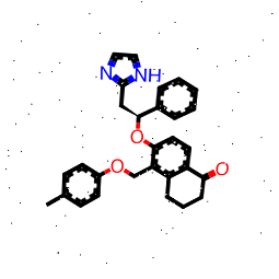 Cc1ccc(OCc2c(O[C@@H](Cc3ncc[nH]3)c3ccccc3)ccc3c2CCCC3=O)cc1